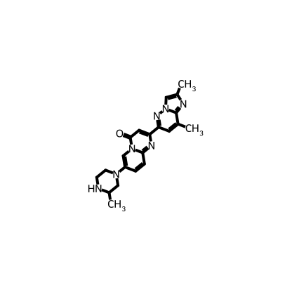 Cc1cn2nc(-c3cc(=O)n4cc(N5CCNC(C)C5)ccc4n3)cc(C)c2n1